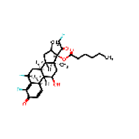 CCCCCC(=O)O[C@]1(C(=O)CF)C(C)C[C@H]2[C@@H]3CC(F)C4=C(F)C(=O)C=C[C@]4(C)[C@H]3C(O)C[C@@]21C